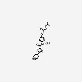 CC(C)COC(=O)COc1ccc(NC(=O)c2nnc(C3CCNCC3)s2)cc1.Cl